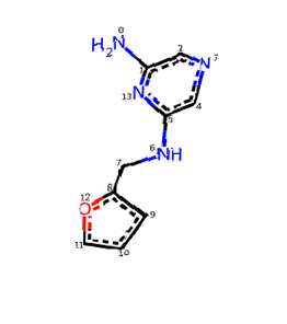 Nc1cncc(NCc2ccco2)n1